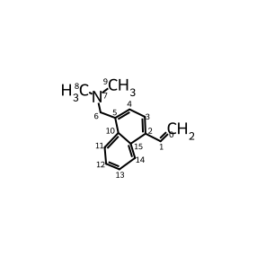 C=Cc1ccc(CN(C)C)c2ccccc12